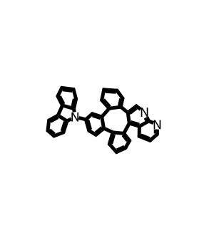 c1ccc2c(c1)-c1cc(-n3c4ccccc4c4ccccc43)ccc1-c1ccccc1-c1c-2cnc2ncccc12